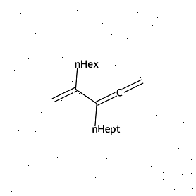 C=C=C(CCCCCCC)C(=C)CCCCCC